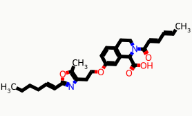 CC=CC=CC(=O)N1CCc2ccc(OCCc3nc(C=CCCCC)oc3C)cc2C1C(=O)O